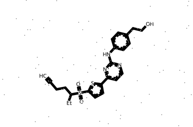 C#CCCC(CC)S(=O)(=O)c1ccc(-c2ccnc(Nc3ccc(CCO)cc3)n2)s1